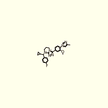 COc1cc(-c2nnc3n2CCCN3C(c2ccc(F)cc2)C2CC2)ccc1-n1cnc(C)c1